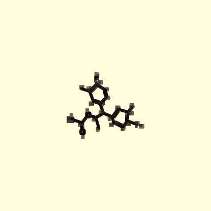 CCC(=O)OC(C)C(c1ccc(F)c(C)c1)c1ccc(F)c(C)c1